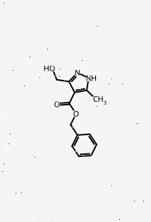 Cc1[nH]nc(CO)c1C(=O)OCc1ccccc1